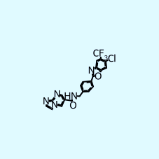 O=C(NCc1ccc(-c2nc3cc(C(F)(F)F)c(Cl)cc3o2)cc1)c1cnc2nccn2c1